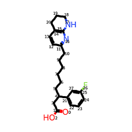 O=C(O)CC(CCCCCCc1ccc2c(n1)NCCC2)c1cccc(F)c1